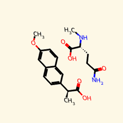 CN[C@H](CCC(N)=O)C(=O)O.COc1ccc2cc([C@H](C)C(=O)O)ccc2c1